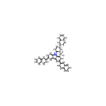 CC1(C)c2cc(-c3ccc4ccccc4c3)ccc2-n2c3ccc(-c4ccc5ccccc5c4)cc3c3cc(-c4ccc5ccccc5c4)cc1c32